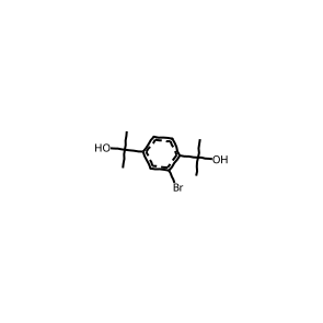 CC(C)(O)c1ccc(C(C)(C)O)c(Br)c1